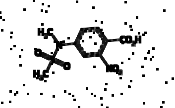 CN(c1ccc(C(=O)O)c([N+](=O)[O-])c1)S(C)(=O)=O